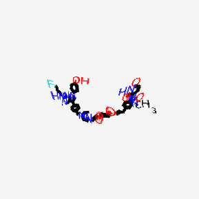 Cn1c(=O)n(C2CCC(=O)NC2=O)c2ccc(CCCOCCOCCN3CCN(Cc4ccc(-c5cn([C@H]6CC[C@H](O)CC6)c6nc(NCCCF)ncc56)cc4)CC3)cc21